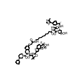 Cc1ncsc1-c1ccc([C@H](C)NC(=O)[C@@H]2C[C@@H](O)CN2C(=O)[C@@H](NC(=O)CCCCCCCCCNC(=O)COc2ccc3c(c2)CN(C(=O)[C@@H](NC(=O)c2cc4cc(C(F)(F)P(=O)(O)O)ccc4s2)C(C)(C)C)[C@H](C(=O)N2CCC[C@H](c4ccccc4)C2)C3)C(C)(C)C)cc1